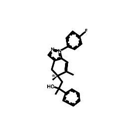 CC1=Cc2c(cnn2-c2ccc(F)cc2)C[C@@]1(C)CC(C)(O)c1ccccc1